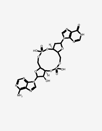 Nc1ncnc2c1ncn2C1OC2COP(=O)(O)O[C@H]3CC(n4cnc5c(=O)[nH]cnc54)OC3COP(=O)(O)O[C@H]2[C@H]1O